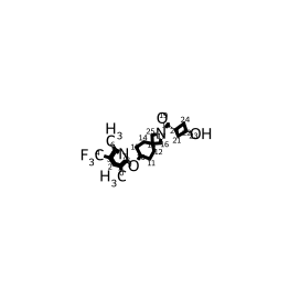 Cc1cc(C(F)(F)F)c(C)nc1OC1CCC2(CC1)CN(C(=O)[C@H]1C[C@@H](O)C1)C2